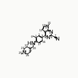 Cc1cc(-c2nc(C#N)nc3c2ccn3C)ccc1NCC1CCN(C)CC1